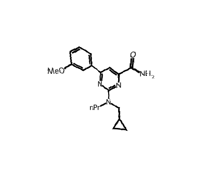 CCCN(CC1CC1)c1nc(C(N)=O)cc(-c2cccc(OC)c2)n1